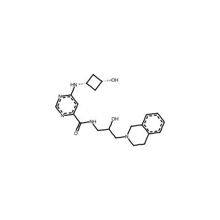 O=C(NCC(O)CN1CCc2ccccc2C1)c1cc(N[C@H]2C[C@@H](O)C2)ncn1